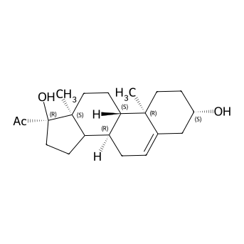 CC(=O)[C@@]1(O)CCC2[C@@H]3CC=C4C[C@@H](O)CC[C@]4(C)[C@H]3CC[C@@]21C